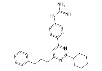 N=C(N)Nc1ccc(-c2cc(CCCc3ccccc3)nc(C3CCCCC3)n2)cc1